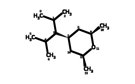 CC(C)C(C(C)C)[C@@H]1C[C@@H](C)O[C@@H](C)C1